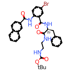 CC(C)(C)OC(=O)NCCNC(=O)[C@H](Cc1ccccc1)NC(=O)c1cc(Br)ccc1NC(=O)c1ccc2ccccc2c1